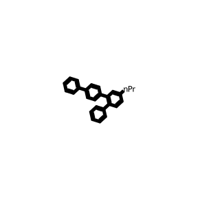 CCCc1ccc(-c2ccccc2)c(-c2ccc(-c3ccccc3)cc2)c1